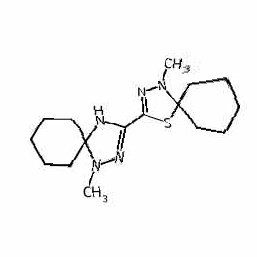 CN1N=C(C2=NN(C)C3(CCCCC3)S2)NC12CCCCC2